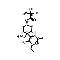 CCOC(=O)C(NC(C)=O)C1(CS)CCN(OC(=O)C(F)(F)F)CC1